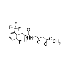 COC(=O)CC(=O)CNC(=O)NCc1c(F)cccc1C(F)(F)F